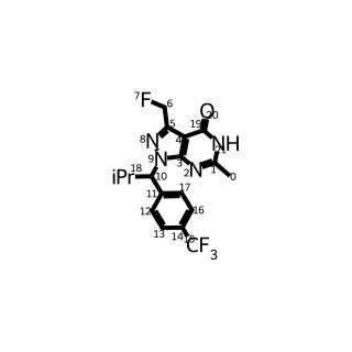 Cc1nc2c(c(CF)nn2C(c2ccc(C(F)(F)F)cc2)C(C)C)c(=O)[nH]1